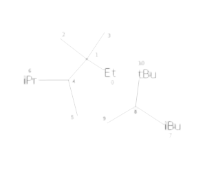 CCC(C)(C)C(C)C(C)C.CCC(C)C(C)C(C)(C)C